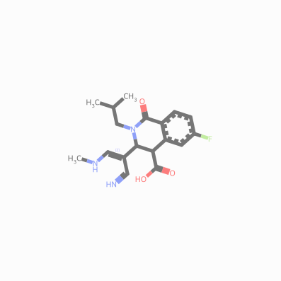 CN/C=C(\C=N)C1C(C(=O)O)c2cc(F)ccc2C(=O)N1CC(C)C